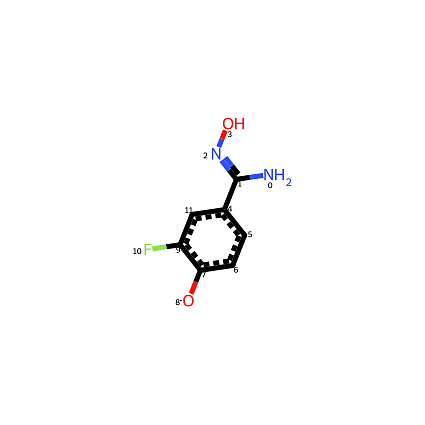 NC(=NO)c1ccc([O])c(F)c1